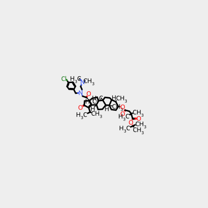 CC(C)C1=C2[C@H]3CC[C@@H]4[C@@]5(C)CC[C@H](OC(=O)CC(C)(C)C(=O)OC(C)(C)C)[C@H](C)[C@@H]5CC[C@@]4(C)[C@]3(C)CC[C@@]2(C(=O)CN(CCN(C)C)Cc2ccc(Cl)cc2)CC1=O